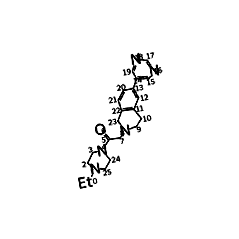 CCN1CCN(C(=O)CN2CCc3cc(-c4cncnc4)ccc3C2)CC1